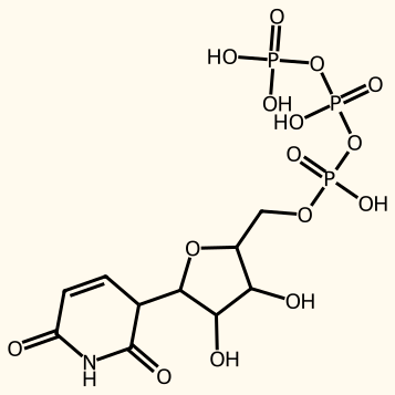 O=C1C=CC(C2OC(COP(=O)(O)OP(=O)(O)OP(=O)(O)O)C(O)C2O)C(=O)N1